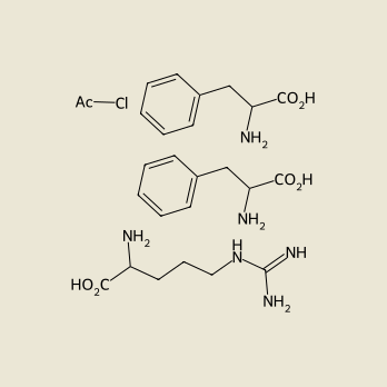 CC(=O)Cl.N=C(N)NCCCC(N)C(=O)O.NC(Cc1ccccc1)C(=O)O.NC(Cc1ccccc1)C(=O)O